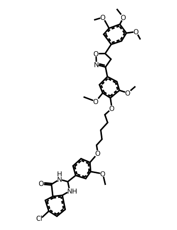 COc1cc(C2NC(=O)c3cc(Cl)ccc3N2)ccc1OCCCCCOc1c(OC)cc(C2=NOC(c3cc(OC)c(OC)c(OC)c3)C2)cc1OC